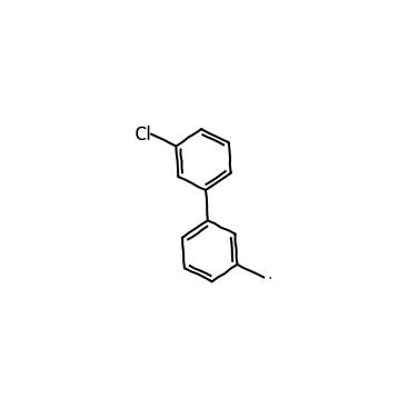 [CH2]c1cccc(-c2cccc(Cl)c2)c1